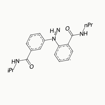 CCCNC(=O)c1c[c]ccc1N(N)c1cccc(C(=O)NC(C)C)c1